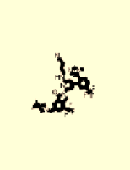 Cn1cnnc1-c1ccc(C(F)(F)F)cc1-c1cc(NCCCC#N)nc(N2Cc3c(cc(CN4CC5(CC5)C4)cc3C(F)(F)F)C2=O)c1